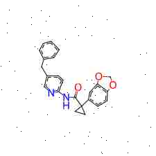 O=C(Nc1ccc(Cc2ccccc2)cn1)C1(c2ccc3c(c2)OCO3)CC1